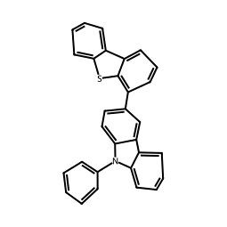 c1ccc(-n2c3ccccc3c3cc(-c4cccc5c4sc4ccccc45)ccc32)cc1